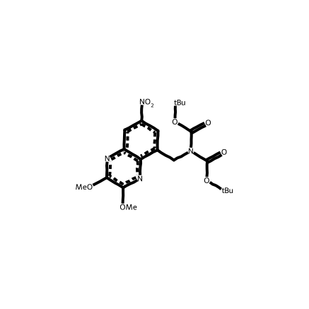 COc1nc2cc([N+](=O)[O-])cc(CN(C(=O)OC(C)(C)C)C(=O)OC(C)(C)C)c2nc1OC